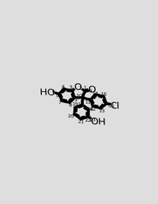 O=C1Oc2cc(O)ccc2C1(c1ccc(Cl)cc1)c1cccc(O)c1